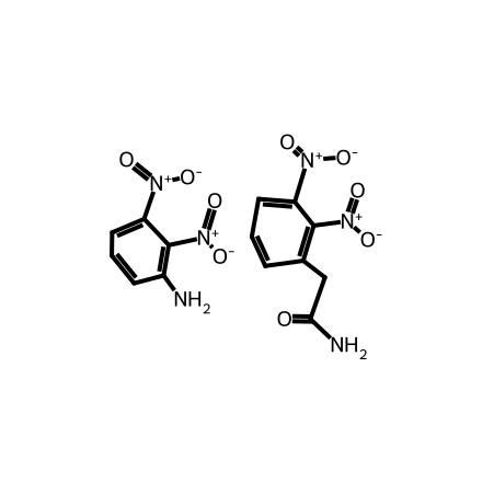 NC(=O)Cc1cccc([N+](=O)[O-])c1[N+](=O)[O-].Nc1cccc([N+](=O)[O-])c1[N+](=O)[O-]